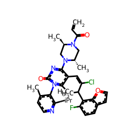 C=CC(=O)N1C[C@H](C)N(c2nc(=O)n(-c3c(C)ccnc3C(C)C)c(C)c2/C=C(/Cl)C(C)c2c(F)ccc3ccoc23)C[C@H]1C